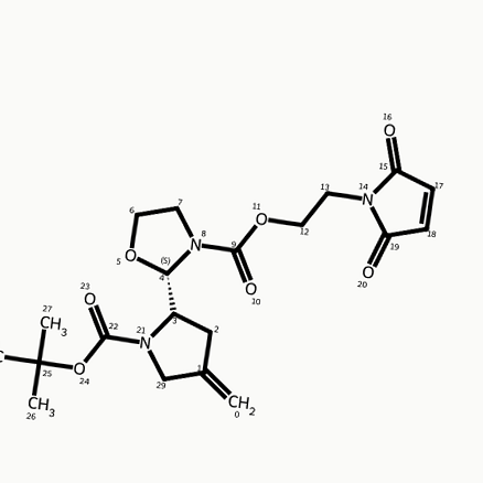 C=C1CC([C@@H]2OCCN2C(=O)OCCN2C(=O)C=CC2=O)N(C(=O)OC(C)(C)C)C1